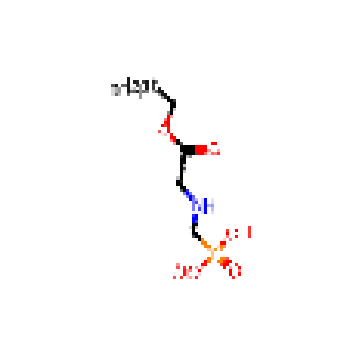 CCCCCCCCOC(=O)CNCP(=O)(O)O